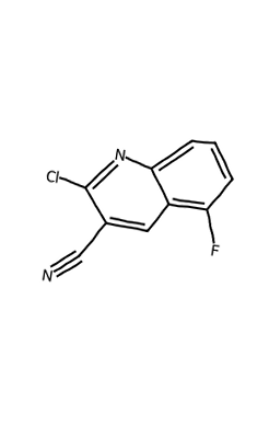 N#Cc1cc2c(F)cccc2nc1Cl